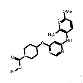 COc1ccc(Nc2cc(OC3CCN(C(=O)OC(C)C)CC3)ncn2)c(C)n1